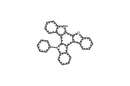 c1ccc(-n2c3ccccc3c3c4c5ccccc5oc4c4[nH]c5ccccc5c4c32)cc1